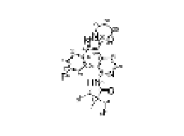 CC(CF)(CF)C(=O)Nc1cc(-c2c(-c3ccc(F)cc3)nn3c2OCCC3)ccn1